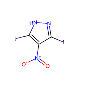 O=[N+]([O-])c1c(I)n[nH]c1I